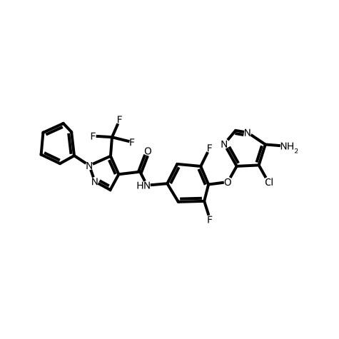 Nc1ncnc(Oc2c(F)cc(NC(=O)c3cnn(-c4ccccc4)c3C(F)(F)F)cc2F)c1Cl